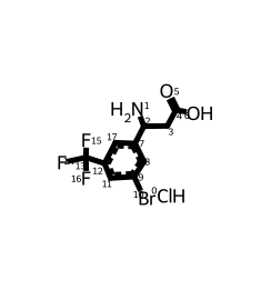 Cl.NC(CC(=O)O)c1cc(Br)cc(C(F)(F)F)c1